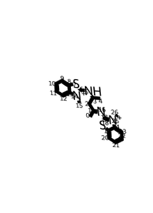 CC(CC(C)Nc1sc2ccccc2[n+]1C)=Nc1sc2ccccc2[n+]1C